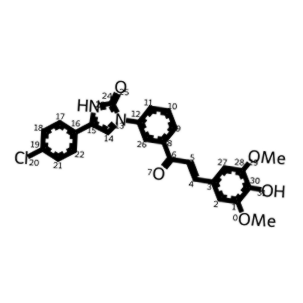 COc1cc(C=CC(=O)c2cccc(-n3cc(-c4ccc(Cl)cc4)[nH]c3=O)c2)cc(OC)c1O